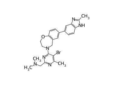 Cc1nc2cc(-c3ccc4c(c3)CN(c3nc(CN(C)C)nc(C)c3Br)CCO4)ccc2[nH]1